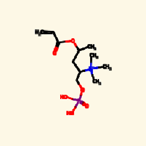 C=CC(=O)OC(C)CC(COP(=O)(O)O)[N+](C)(C)C